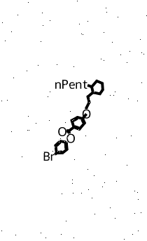 CCCCCC1CCCCC1CCCOc1ccc(C(=O)Oc2ccc(Br)cc2)cc1